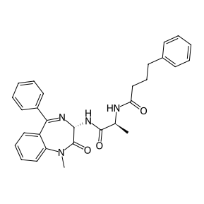 C[C@H](NC(=O)CCCc1ccccc1)C(=O)N[C@H]1N=C(c2ccccc2)c2ccccc2N(C)C1=O